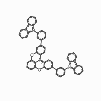 S=P12c3ccc(-c4cccc(-n5c6ccccc6c6ccccc65)c4)cc3Oc3cccc(c31)Oc1cc(-c3cccc(-n4c5ccccc5c5ccccc54)c3)ccc12